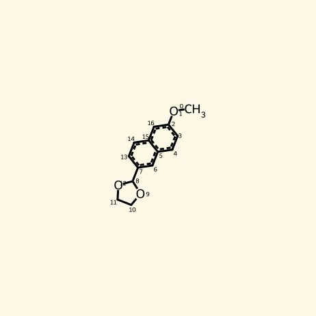 COc1ccc2cc(C3OCCO3)ccc2c1